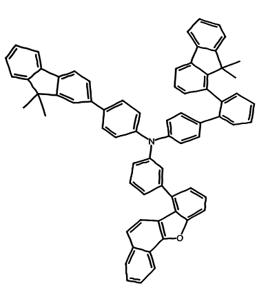 CC1(C)c2ccccc2-c2ccc(-c3ccc(N(c4ccc(-c5ccccc5-c5cccc6c5C(C)(C)c5ccccc5-6)cc4)c4cccc(-c5cccc6oc7c8ccccc8ccc7c56)c4)cc3)cc21